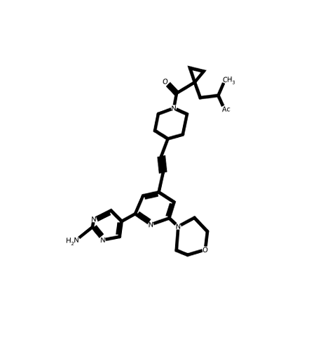 CC(=O)C(C)CC1(C(=O)N2CCC(C#Cc3cc(-c4cnc(N)nc4)nc(N4CCOCC4)c3)CC2)CC1